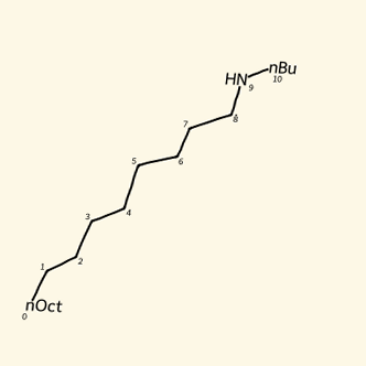 CCCCCCCCCCCCCCC[CH]NCCCC